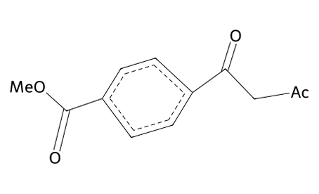 COC(=O)c1ccc(C(=O)CC(C)=O)cc1